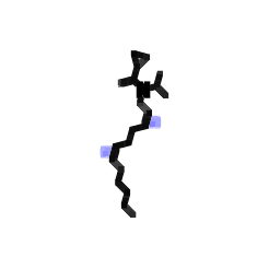 C=C(C1CC1)N(C/C=C\CC/C=C\CCCCC)C(C)C